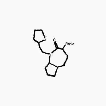 CNC1CCC2CCCC2N(CC2CCCS2)C1=O